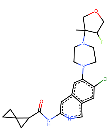 CC1(N2CCN(c3cc4cc(NC(=O)C5CC56CC6)ncc4cc3Cl)CC2)COCC1F